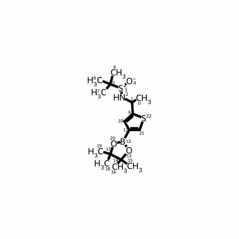 CC(N[S+]([O-])C(C)(C)C)c1cc(B2OC(C)(C)C(C)(C)O2)cs1